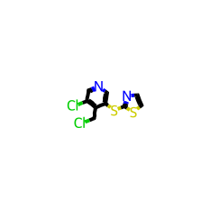 ClCc1c(Cl)cncc1Sc1nccs1